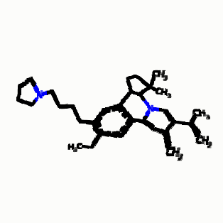 C=C(C)C1=CN2C(=CC1=C)c1cc(CC)c(CCCCN3CCCC3)cc1C1CCC(C)(C)C12